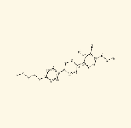 CCCCCc1ccc(C2C=CC(c3ccc(OCC)c(F)c3F)CC2)cc1